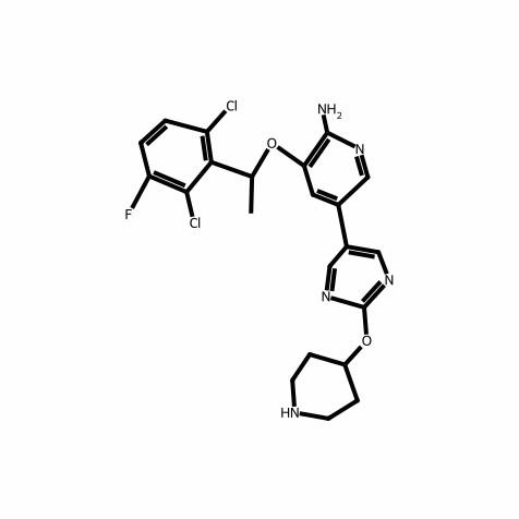 CC(Oc1cc(-c2cnc(OC3CCNCC3)nc2)cnc1N)c1c(Cl)ccc(F)c1Cl